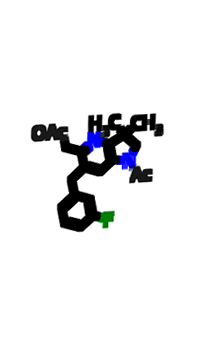 CC(=O)OCc1nc2c(cc1Cc1cccc(F)c1)N(C(C)=O)CC2(C)C